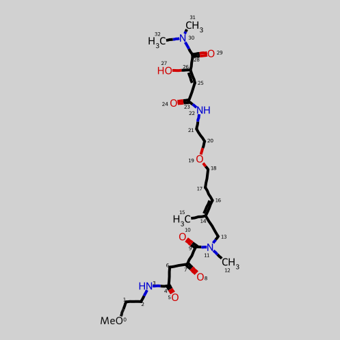 COCCNC(=O)CC(=O)C(=O)N(C)C/C(C)=C/CCOCCNC(=O)/C=C(\O)C(=O)N(C)C